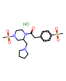 CS(=O)(=O)c1ccc(CC(=O)N2CCN(S(C)(=O)=O)CC2CN2CCCC2)cc1.Cl